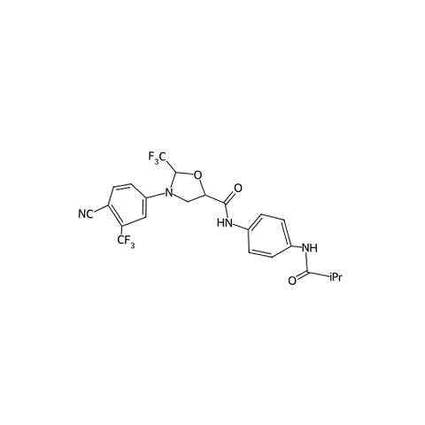 CC(C)C(=O)Nc1ccc(NC(=O)C2CN(c3ccc(C#N)c(C(F)(F)F)c3)C(C(F)(F)F)O2)cc1